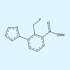 COC(=O)c1cccc(-c2cccs2)c1CF